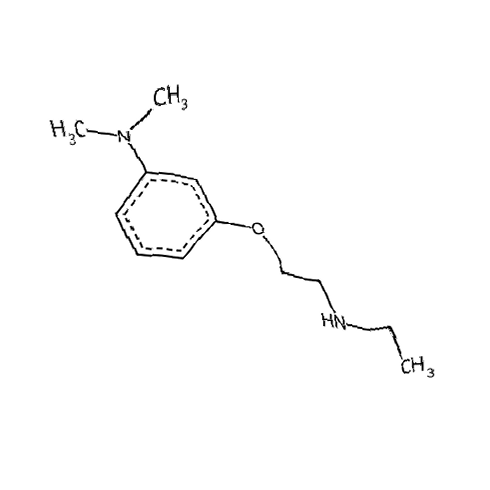 CCNCCOc1cccc(N(C)C)c1